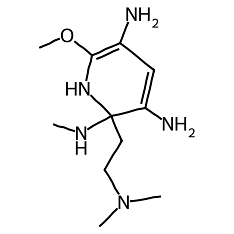 CNC1(CCN(C)C)NC(OC)=C(N)C=C1N